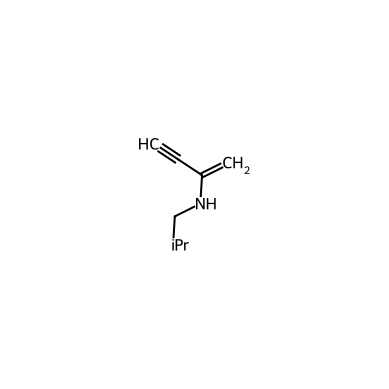 C#CC(=C)NCC(C)C